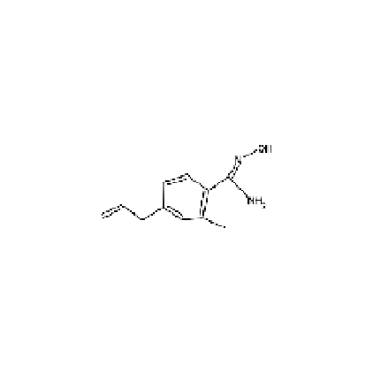 C=CCc1ccc(/C(N)=N/O)c(C)c1